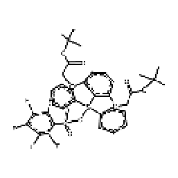 CC(C)(C)OC(=O)COc1cccc(OCC(=O)OC(C)(C)C)c1S(OS(=O)(=O)c1c(F)c(F)c(F)c(F)c1F)(c1ccccc1)c1ccccc1